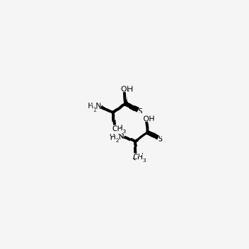 CC(N)C(O)=S.CC(N)C(O)=S